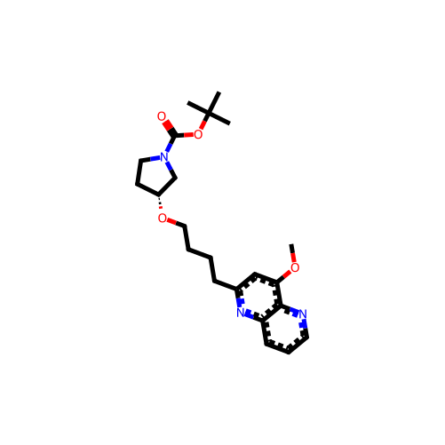 COc1cc(CCCCO[C@@H]2CCN(C(=O)OC(C)(C)C)C2)nc2cccnc12